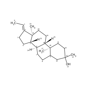 CC=C1CC[C@H]2[C@@H]3CCC4CC(C)(O)CC[C@]4(C)[C@H]3CC[C@]12C